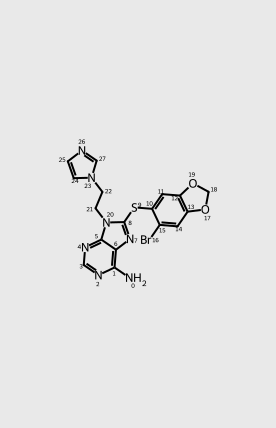 Nc1ncnc2c1nc(Sc1cc3c(cc1Br)OCO3)n2CCn1ccnc1